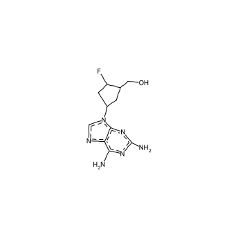 Nc1nc(N)c2ncn(C3CC(F)C(CO)C3)c2n1